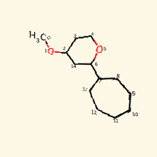 COC1CCOC([C]2CCCCCC2)C1